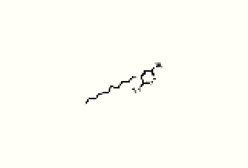 CCCCCCCCCC/C(=C/C(N)=O)C(N)=O